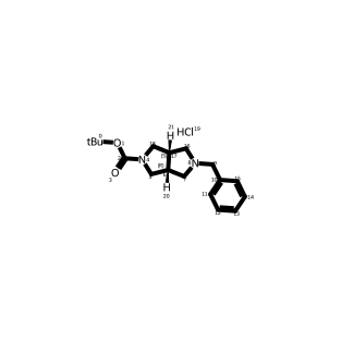 CC(C)(C)OC(=O)N1C[C@H]2CN(Cc3ccccc3)C[C@H]2C1.Cl